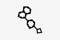 c1ccc2c(-c3ccc(C4CCC4)cc3)cccc2c1